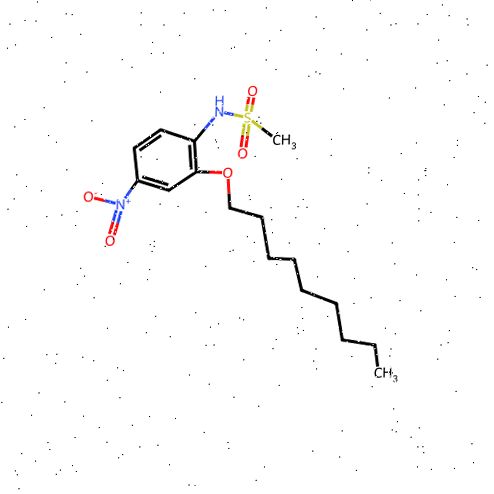 CCCCCCCCCOc1cc([N+](=O)[O-])ccc1NS(C)(=O)=O